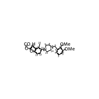 COc1cccc(CN2CCN(c3ccc4oc(OC(=O)O)cc4c3C)CC2)c1OC